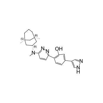 CN(c1ccc(-c2ccc(-c3cn[nH]c3)cc2O)nn1)[C@H]1C[C@]2(C)CCC[C@](C)(C1)C2